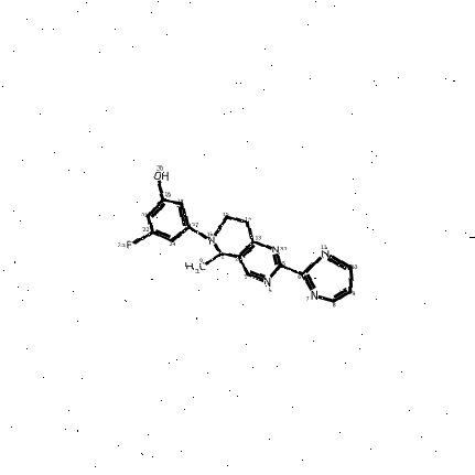 CC1c2cnc(-c3ncccn3)nc2CCN1c1cc(O)cc(F)c1